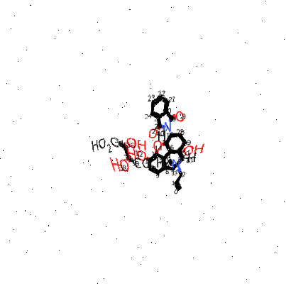 C=CCN1CC[C@]23c4c5ccc(O)c4O[C@H]2[C@H](N2C(=O)c4ccccc4C2=O)CC[C@@]3(O)[C@H]1C5.O=C(O)C(O)C(O)C(=O)O